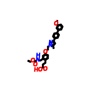 CCOC(=O)NCc1cc(OCCn2nc(-c3ccc(-c4cccc(OC)c4)cc3)cc2C)ccc1CCC(=O)O